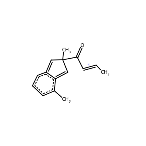 C/C=C/C(=O)C1(C)C=c2cccc(C)c2=C1